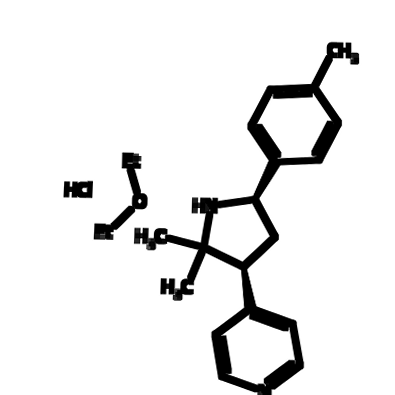 CCOCC.Cc1ccc([C@H]2C[C@@H](c3ccncc3)C(C)(C)N2)cc1.Cl